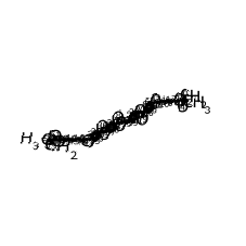 C=C(C)C(=O)OCCCCCCCOc1ccc(C(=O)Oc2ccc(CCOC(=O)c3ccc(OC(=O)c4ccc(OCCCCCCCOC(=O)C(=C)C)cc4)cc3)cc2)cc1